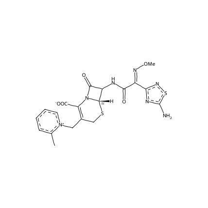 CON=C(C(=O)NC1C(=O)N2C(C(=O)[O-])=C(C[n+]3ccccc3C)CS[C@@H]12)c1nsc(N)n1